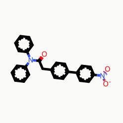 O=C(Cc1ccc(-c2ccc([N+](=O)[O-])cc2)cc1)N(c1ccccc1)c1ccccc1